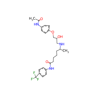 CC(=O)Nc1ccc(OCC(O)CNC(C)CCCCC(=O)Nc2ccc(C(F)(F)F)cc2)cc1